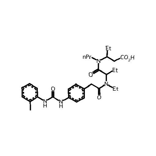 CCCN(C(=O)C(CC)N(CC)C(=O)Cc1ccc(NC(=O)Nc2ccccc2C)cc1)C(CC)CC(=O)O